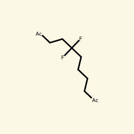 CC(=O)CCCCC(F)(F)CCC(C)=O